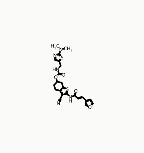 CN(C)c1ncc(CNC(=O)OC2CCc3c(sc(NC(=O)C=Cc4ccoc4)c3C#N)C2)s1